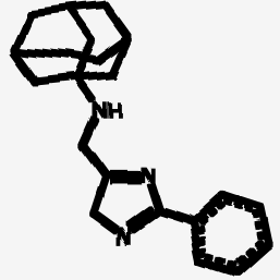 c1ccc(C2=NCC(CNC34CC5CC(CC(C5)C3)C4)=N2)cc1